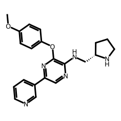 COc1ccc(Oc2nc(-c3cccnc3)cnc2NC[C@@H]2CCCN2)cc1